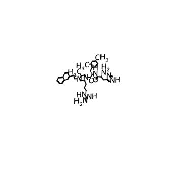 Cc1ccc(C[C@@H](NC(=O)[C@@H](N)Cc2c[nH]cn2)C(=O)N2CC(C)N(CCc3ccc4ccccc4c3)CC2CCCNC(=N)N)c(C)c1